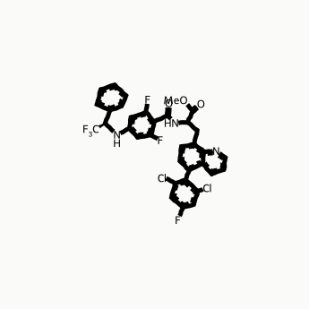 COC(=O)C(Cc1ccc(-c2c(Cl)cc(F)cc2Cl)c2cccnc12)NC(=O)c1c(F)cc(N[C@H](c2ccccc2)C(F)(F)F)cc1F